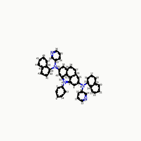 c1ccc(-n2c3cc(N(c4cccnc4)c4cccc5ccccc45)cc4ccc5cc(N(c6cccnc6)c6cccc7ccccc67)cc2c5c43)cc1